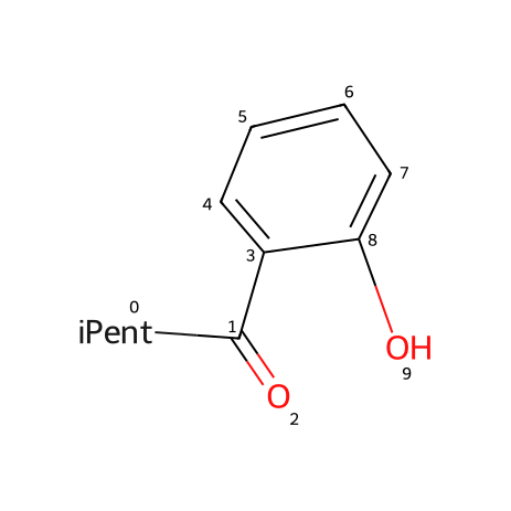 CCCC(C)C(=O)c1ccccc1O